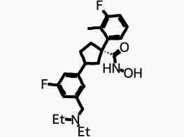 CCN(CC)Cc1cc(F)cc(C2CC[C@@](C(=O)NO)(c3cccc(F)c3C)C2)c1